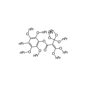 CCCOC(OCCC)=C(C(=O)Oc1c(OCCC)c(OCCC)c(CCC)c(OCCC)c1OCCC)C(OCCC)(OCCC)OCCC